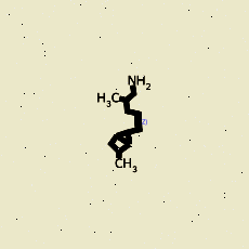 CC(CN)C/C=C\C1C2CC(C)C12